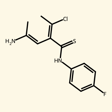 C/C(Cl)=C(\C=C(/C)N)C(=S)Nc1ccc(F)cc1